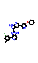 Cc1cc(F)cc(-c2nccc3[nH]c(-c4n[nH]c5ncc(-c6cncc(OC7CCCCC7)c6)cc45)nc23)c1